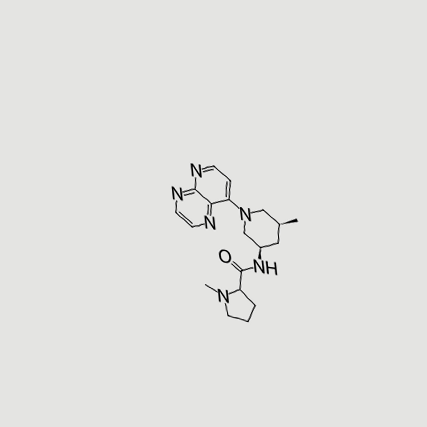 C[C@H]1C[C@@H](NC(=O)C2CCCN2C)CN(c2ccnc3nccnc23)C1